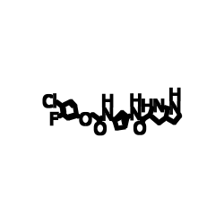 O=C(COc1ccc(Cl)c(F)c1)NC12CC(C1)C(NC(=O)C1CNC3NCCC3C1)C2